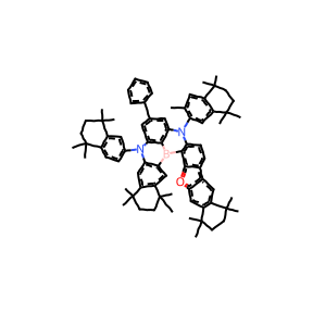 Cc1cc2c(cc1N1c3cc(-c4ccccc4)cc4c3B(c3cc5c(cc3N4c3ccc4c(c3)C(C)(C)CCC4(C)C)C(C)(C)CCC5(C)C)c3c1ccc1c3oc3cc4c(cc31)C(C)(C)CCC4(C)C)C(C)(C)CCC2(C)C